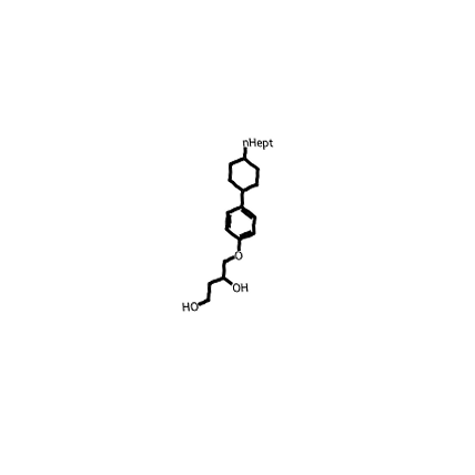 CCCCCCCC1CCC(c2ccc(OCC(O)CCO)cc2)CC1